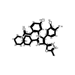 Cc1nnc(-c2nc(C3CCCCC3)n(-c3cc(Cl)ccc3CC(=O)N3CCCCC3)c2-c2ccc(F)c(Cl)c2)o1